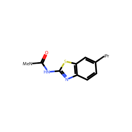 CNC(=O)Nc1nc2ccc(C(C)C)cc2s1